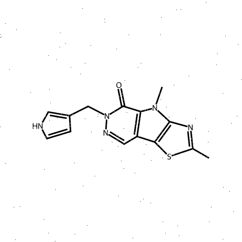 Cc1nc2c(s1)c1cnn(Cc3cc[nH]c3)c(=O)c1n2C